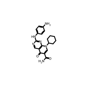 NC(=O)c1cn(C2CCCCC2)c2nc(Nc3ccc(N)cc3)ncc2c1=O